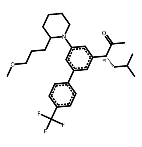 COCCCC1CCCCN1c1cc(-c2ccc(C(F)(F)F)cc2)cc([C@@H](CC(C)C)C(C)=O)c1